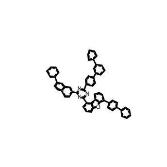 c1ccc(-c2ccc(-c3cccc4c3oc3cccc(-c5nc(-c6ccc(-c7cccc(-c8ccccc8)c7)cc6)nc(-c6ccc7ccc(-c8ccccc8)cc7c6)n5)c34)cc2)cc1